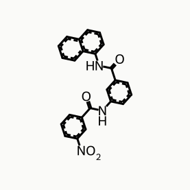 O=C(Nc1cccc(C(=O)Nc2cccc3ccccc23)c1)c1cccc([N+](=O)[O-])c1